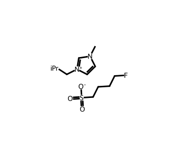 CC(C)C[n+]1ccn(C)c1.O=S(=O)([O-])CCCCF